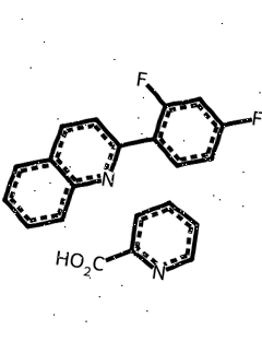 Fc1ccc(-c2ccc3ccccc3n2)c(F)c1.O=C(O)c1ccccn1